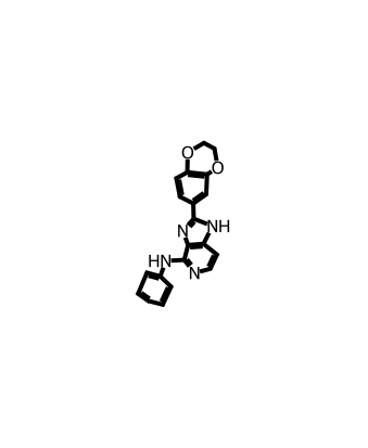 c1ccc(Nc2nccc3[nH]c(-c4ccc5c(c4)OCCO5)nc23)cc1